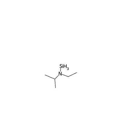 CCN([SiH3])C(C)C